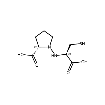 O=C(O)[C@H](CS)NN1CCC[C@H]1C(=O)O